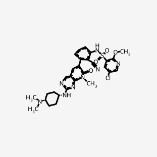 COc1ncc(Cl)cc1S(=O)(=O)Nc1cccc(-c2cc3cnc(N[C@H]4CC[C@H](N(C)C)CC4)nc3n(C)c2=O)c1C#N